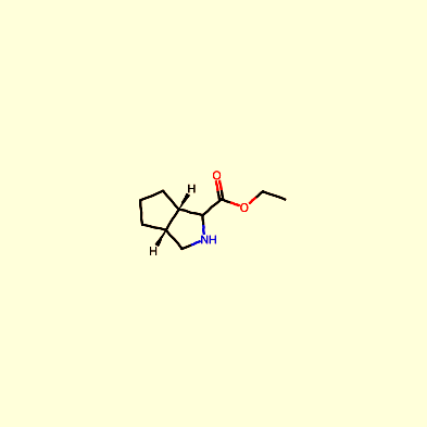 CCOC(=O)C1NC[C@@H]2CCC[C@H]12